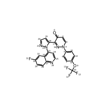 O=c1ccn(-c2ccc(OC(F)(F)F)cc2)nc1-c1ccnn1-c1ccnc2ccc(F)cc12